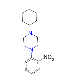 O=[N+]([O-])c1ccccc1N1CCN(C2CCCCC2)CC1